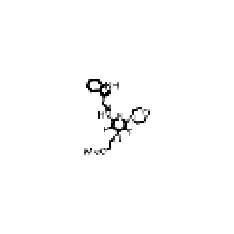 COCCOc1c(F)c(NN=Cc2c[nH]c3ccccc23)nc(N2CCOCC2)c1F